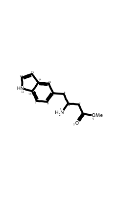 COC(=O)CC(N)Cc1ccc2[nH]ccc2c1